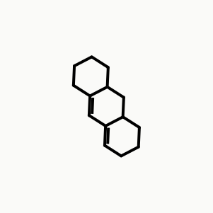 C1=C2C=C3CCCCC3CC2CCC1